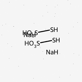 O=S(=O)(O)S.O=S(=O)(O)S.[NaH].[NaH]